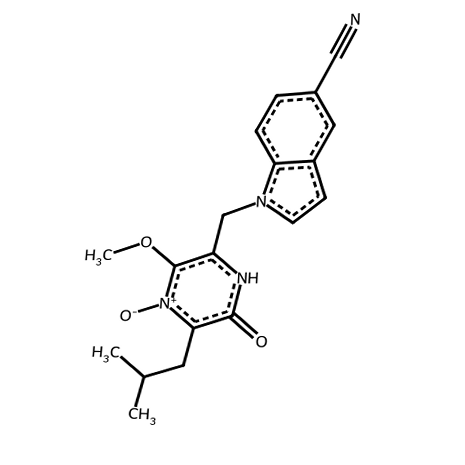 COc1c(Cn2ccc3cc(C#N)ccc32)[nH]c(=O)c(CC(C)C)[n+]1[O-]